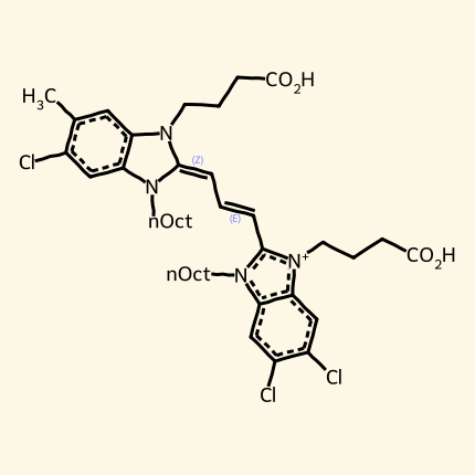 CCCCCCCCN1/C(=C\C=C\c2n(CCCCCCCC)c3cc(Cl)c(Cl)cc3[n+]2CCCC(=O)O)N(CCCC(=O)O)c2cc(C)c(Cl)cc21